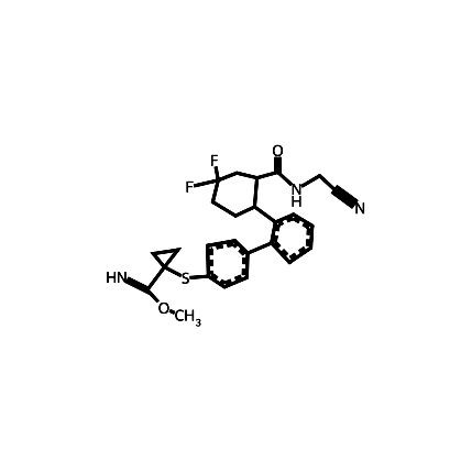 COC(=N)C1(Sc2ccc(-c3ccccc3C3CCC(F)(F)CC3C(=O)NCC#N)cc2)CC1